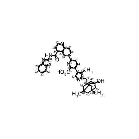 Cc1c(-c2ccc(-c3ccc4nccc(C(=O)Nc5nc6ccccc6s5)c4c3)nc2C(=O)O)cnn1CC12CC3(C)CC(C)(CC(O)(C3)C1)C2